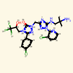 CC(C)(N)CNc1nc(Cn2nc(-c3ccc(Cl)cc3)n(CC(O)C(F)(F)F)c2=O)nn1-c1ncccc1Cl